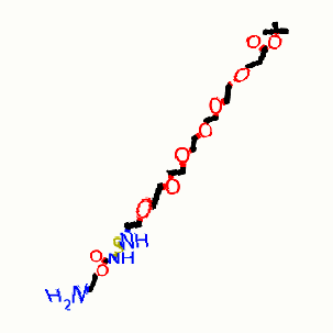 CC(C)(C)OC(=O)CCOCCOCCOCCOCCOCCOCCNSNC(=O)OCCN